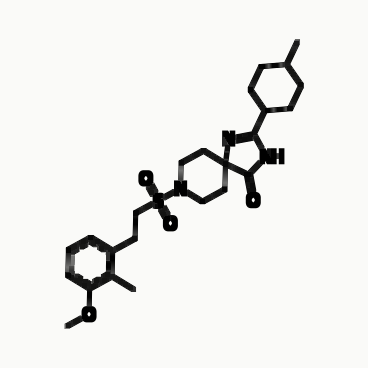 COc1cccc(CCS(=O)(=O)N2CCC3(CC2)N=C(C2CCC(C)CC2)NC3=O)c1C